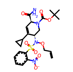 C=CCON([C@H]1CN(C(=O)OC(C)(C)C)[C@H](C(N)=O)C=C1C1CC1)S(=O)(=O)c1ccccc1[N+](=O)[O-]